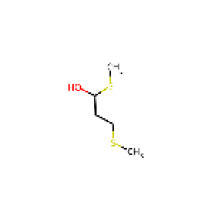 CSCCC(O)SC